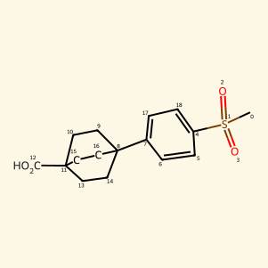 CS(=O)(=O)c1ccc(C23CCC(C(=O)O)(CC2)CC3)cc1